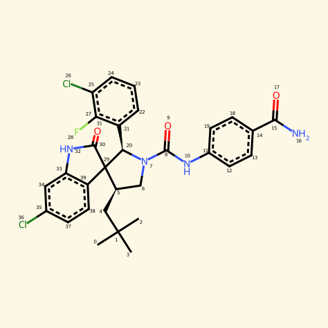 CC(C)(C)C[C@@H]1CN(C(=O)Nc2ccc(C(N)=O)cc2)[C@H](c2cccc(Cl)c2F)C12C(=O)Nc1cc(Cl)ccc12